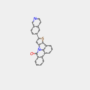 O=c1c2ccccc2c2cccc3c4sc(-c5ccc6cnccc6c5)cc4n1c23